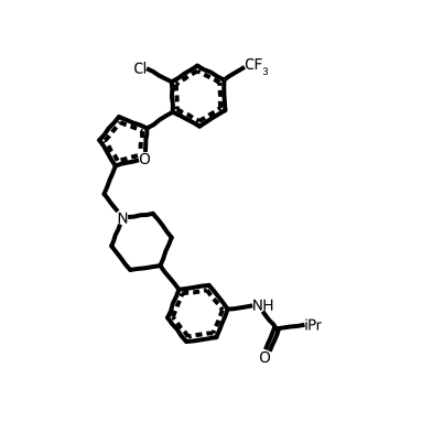 CC(C)C(=O)Nc1cccc(C2CCN(Cc3ccc(-c4ccc(C(F)(F)F)cc4Cl)o3)CC2)c1